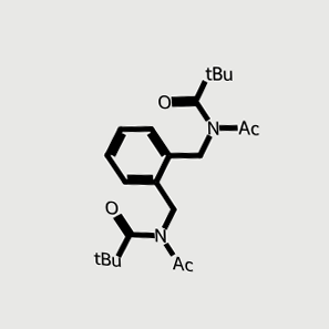 CC(=O)N(Cc1ccccc1CN(C(C)=O)C(=O)C(C)(C)C)C(=O)C(C)(C)C